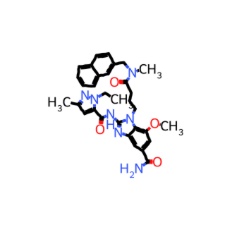 CCn1nc(C)cc1C(=O)Nc1nc2cc(C(N)=O)cc(OC)c2n1CCCC(=O)N(C)Cc1ccc2ccccc2c1